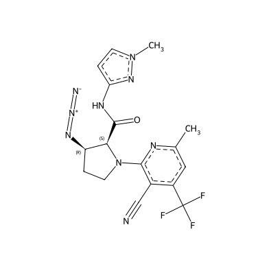 Cc1cc(C(F)(F)F)c(C#N)c(N2CC[C@@H](N=[N+]=[N-])[C@H]2C(=O)Nc2ccn(C)n2)n1